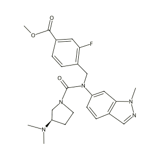 COC(=O)c1ccc(CN(C(=O)N2CC[C@@H](N(C)C)C2)c2ccc3cnn(C)c3c2)c(F)c1